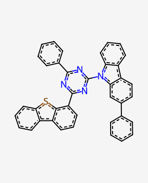 c1ccc(-c2ccc3c4ccccc4n(-c4nc(-c5ccccc5)nc(-c5cccc6c5sc5ccccc56)n4)c3c2)cc1